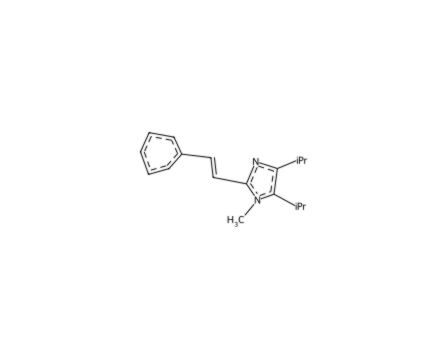 CC(C)c1nc(C=Cc2ccccc2)n(C)c1C(C)C